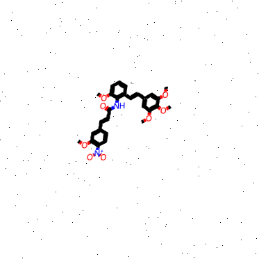 COc1cc(/C=C/C(=O)Nc2c(/C=C/c3cc(OC)c(OC)c(OC)c3)cccc2OC)ccc1[N+](=O)[O-]